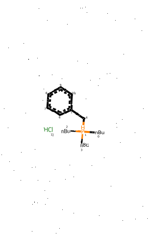 CCCC[PH](CCCC)(CCCC)Cc1ccccc1.Cl